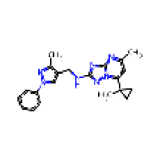 Cc1cc(C2(C)CC2)n2nc(NCc3cn(-c4ccccc4)nc3C)nc2n1